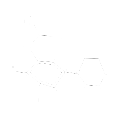 CC(C)Oc1cc(N2CCNCC2)ccc1Cl.Cl